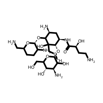 COCC1(O)C(O[C@H]2OC(CN)CCC2N)[C@@H](N)C[C@@H](NC(=O)[C@@H](O)CCN)[C@@H]1O[C@H]1OC(CO)[C@@H](O)[C@H](N)C1O